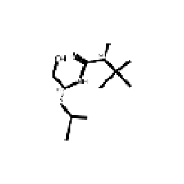 CC(C)C[C@H](CO)NC(=O)[C@@H](C)C(C)(C)C